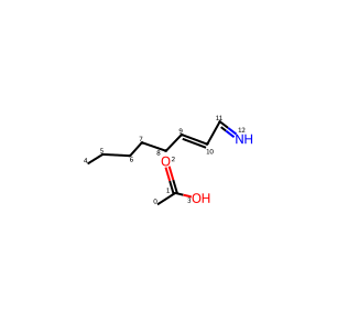 CC(=O)O.CCCCCC=CC=N